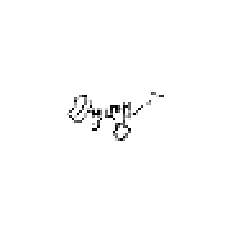 N=C(C(=O)NC12CC3CC(CC(C3)C1)C2)c1ccccc1NCCCO